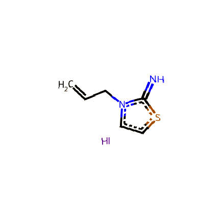 C=CCn1ccsc1=N.I